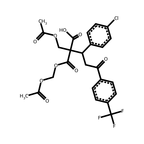 CC(=O)OCOC(=O)C(COC(C)=O)(C(=O)O)C(CC(=O)c1ccc(C(F)(F)F)cc1)c1ccc(Cl)cc1